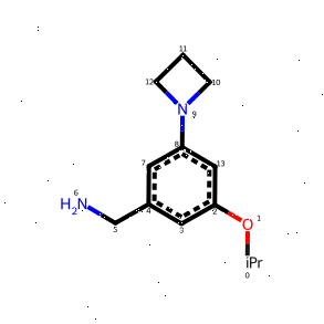 CC(C)Oc1cc(CN)cc(N2CCC2)c1